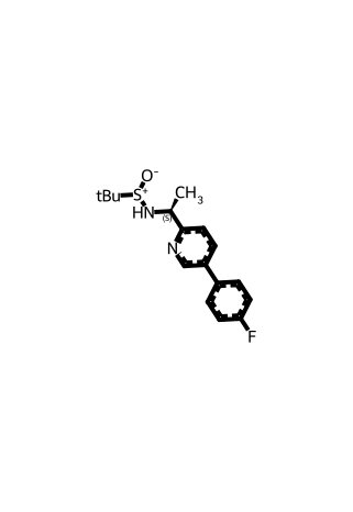 C[C@H](N[S+]([O-])C(C)(C)C)c1ccc(-c2ccc(F)cc2)cn1